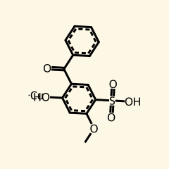 COc1cc(O)c(C(=O)c2ccccc2)cc1S(=O)(=O)O.[Cu]